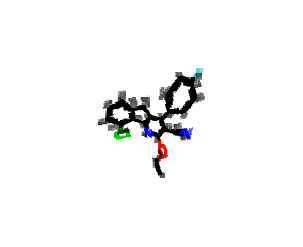 CCOc1nc2c(c(-c3ccc(F)cc3)c1C#N)Cc1cccc(Cl)c1-2